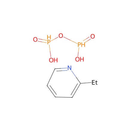 CCc1ccccn1.O=[PH](O)O[PH](=O)O